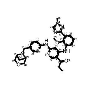 CCC(=O)c1cnc(Nc2ccc(CN3C4COCC3C4)cn2)cc1Nc1cccc(-c2ncn(C)n2)c1OC